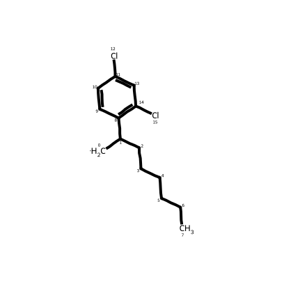 [CH2]C(CCCCCC)c1ccc(Cl)cc1Cl